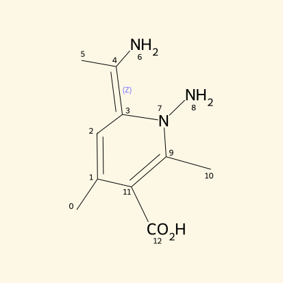 CC1=C/C(=C(\C)N)N(N)C(C)=C1C(=O)O